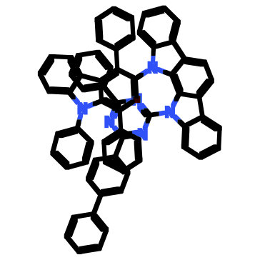 c1ccc(-c2ccc(-c3nc(-c4ccccc4)nc(-n4c5ccccc5c5ccc6c7ccccc7n(-c7cc(-c8ccccc8)c8c(c7-c7ccccc7)c7ccccc7n8-c7ccccc7)c6c54)n3)cc2)cc1